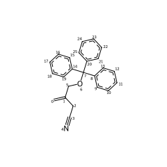 C=C(CC#N)COC(c1ccccc1)(c1ccccc1)c1ccccc1